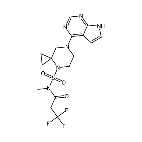 CN(C(=O)CC(F)(F)F)S(=O)(=O)N1CCN(c2ncnc3[nH]ccc23)CC12CC2